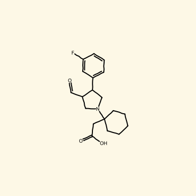 O=CC1CN(C2(CC(=O)O)CCCCC2)CC1c1cccc(F)c1